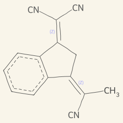 [C-]#[N+]/C(C)=C1/C/C(=C(\C#N)[N+]#[C-])c2ccccc21